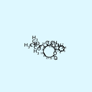 C[C@@H]1[C@@H](c2ccccc2)OC(=O)CCC=CC[C@@H](CC(=O)OC(C)(C)C)C(=O)N1C